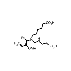 C=C/C(OC)=C(\CC)N(CCCCCC(=O)O)CNCCS(=O)(=O)O